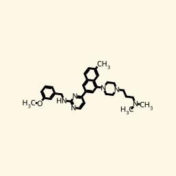 COc1cccc(CNc2nccc(-c3cc(N4CCN(CCCN(C)C)CC4)c4cc(C)ccc4c3)n2)c1